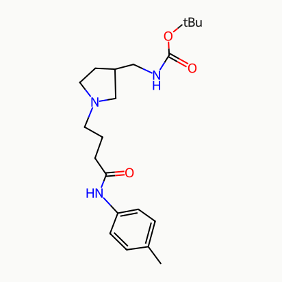 Cc1ccc(NC(=O)CCCN2CCC(CNC(=O)OC(C)(C)C)C2)cc1